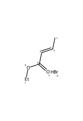 Br.CC=CC(=O)OCC